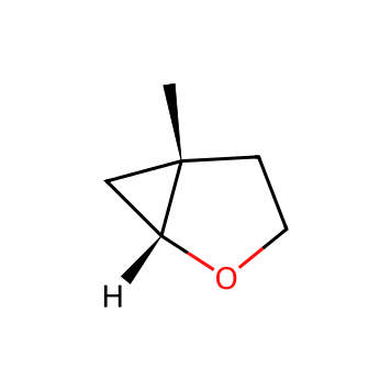 C[C@@]12CCO[C@@H]1C2